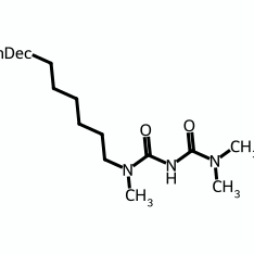 CCCCCCCCCCCCCCCCN(C)C(=O)NC(=O)N(C)C